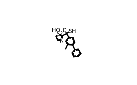 Cc1cc(C(S)(C(=O)O)c2nccs2)ccc1-c1ccccc1